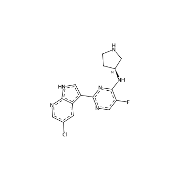 Fc1cnc(-c2c[nH]c3ncc(Cl)cc23)nc1N[C@H]1CCNC1